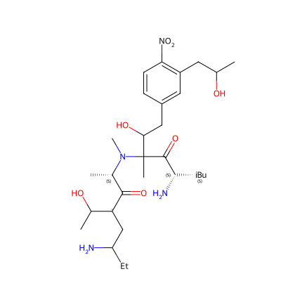 CCC(N)C[C](C(=O)[C@H](C)N(C)C(C)(C(=O)[C@@H](N)[C@@H](C)CC)C(O)Cc1ccc([N+](=O)[O-])c(CC(C)O)c1)C(C)O